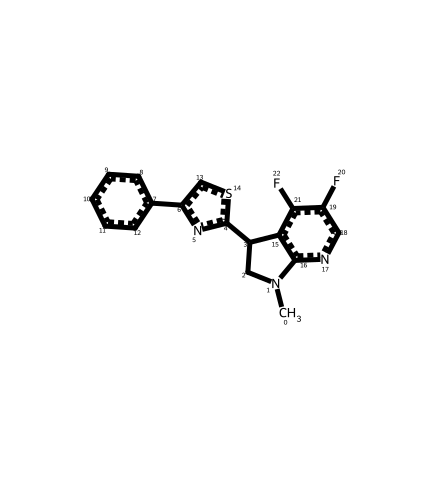 CN1CC(c2nc(-c3ccccc3)cs2)c2c1ncc(F)c2F